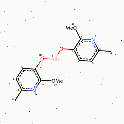 COc1nc(C)ccc1OBOc1ccc(C)nc1OC